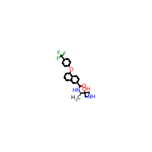 C[C@@H](NC(=O)c1ccc2c(Oc3ccc(C(F)(F)F)cc3)cccc2c1)C1(O)CNC1